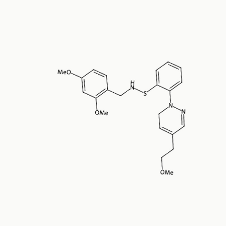 COCCC1=CCN(c2ccccc2SNCc2ccc(OC)cc2OC)N=C1